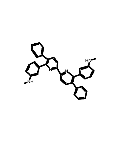 CNc1cccc(-c2nc(-c3ccc(-c4ccccc4)c(-c4cccc(NC)c4)n3)ccc2-c2ccccc2)c1